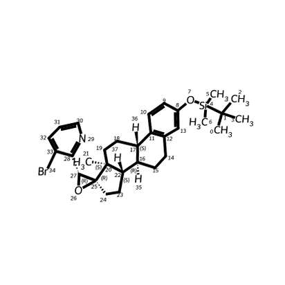 CC(C)(C)[Si](C)(C)Oc1ccc2c(c1)CC[C@@H]1[C@@H]2CC[C@@]2(C)[C@H]1CC[C@@]21O[C@@H]1c1ncccc1Br